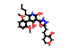 CCCCc1nc(O)c(-c2nnc(CCC3CCOCC3=O)o2)c(O)c1-c1c(OC)cccc1OC